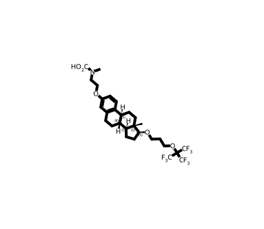 CN(CCOc1ccc2c(c1)CC[C@@H]1[C@@H]2CC[C@]2(C)[C@@H](OCCCOC(C(F)(F)F)(C(F)(F)F)C(F)(F)F)CC[C@@H]12)C(=O)O